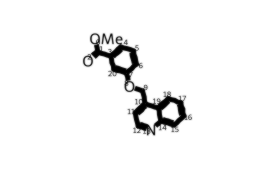 COC(=O)c1cccc(OCc2ccnc3ccccc23)c1